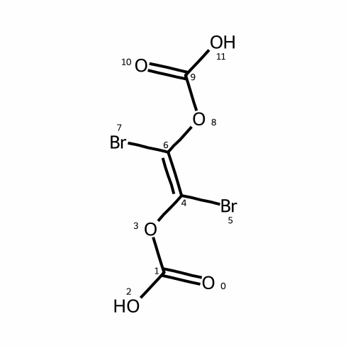 O=C(O)O/C(Br)=C(\Br)OC(=O)O